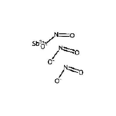 O=N[O-].O=N[O-].O=N[O-].[Sb+3]